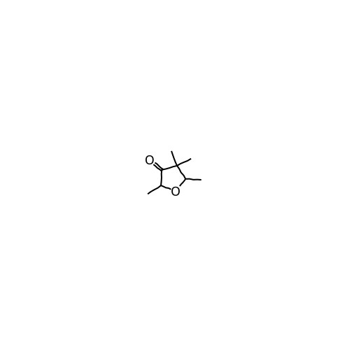 CC1OC(C)C(C)(C)C1=O